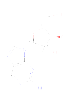 Nc1ncc2ncn([C@@H]3O[C@H](CO)[C@@H](O)[C@@]3(O)F)c2n1